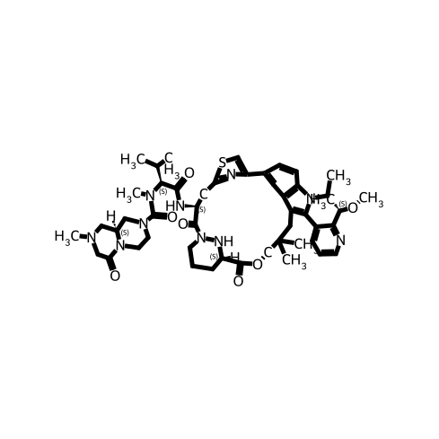 CCn1c(-c2cccnc2[C@H](C)OC)c2c3cc(ccc31)-c1csc(n1)C[C@H](NC(=O)[C@H](C(C)C)N(C)C(=O)N1CCN3C(=O)CN(C)C[C@H]3C1)C(=O)N1CCC[C@H](N1)C(=O)OCC(C)(C)C2